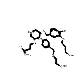 COCCCNc1cc(CO[C@H]2CNC[C@@H](OCCC(C)O)[C@@H]2c2ccc(COCCOC)cc2)ccc1O